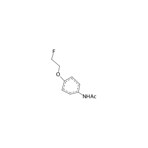 CC(=O)Nc1ccc(OCCF)cc1